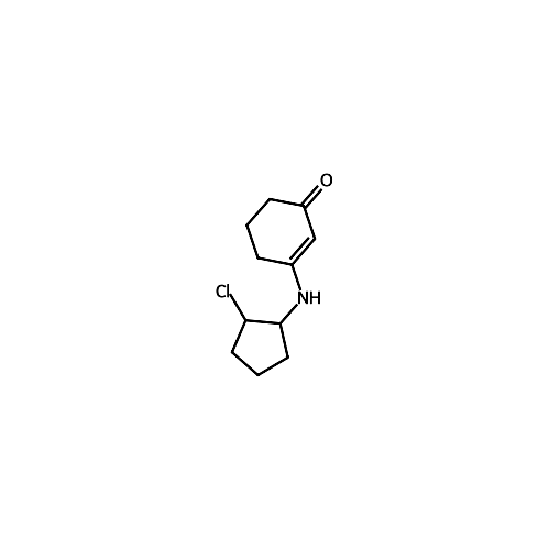 O=C1C=C(NC2CCCC2Cl)CCC1